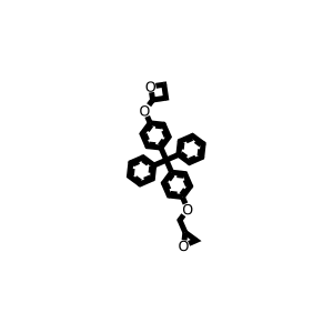 c1ccc(C(c2ccccc2)(c2ccc(OCC3CO3)cc2)c2ccc(OC3CCO3)cc2)cc1